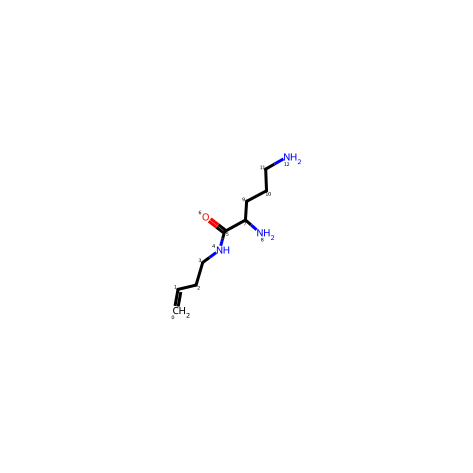 C=CCCNC(=O)C(N)CCCN